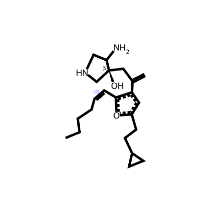 C=C(C[C@]1(O)CNCC1N)c1cc(CCC2CC2)oc1/C=C\CCCC